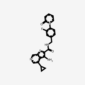 Nc1c(C(=O)NCc2ccc(-n3ccccc3=O)c(F)c2)sc2cncc(C3CC3)c12